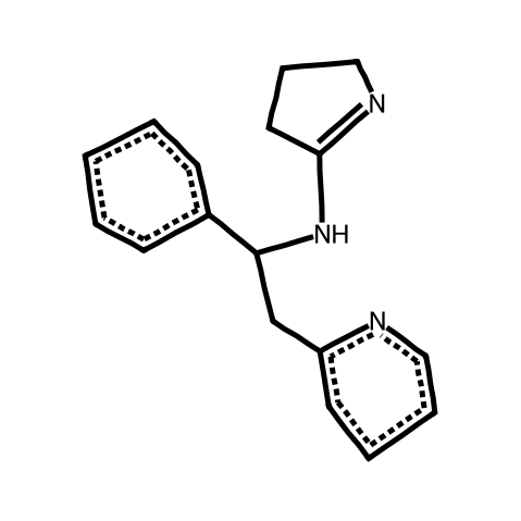 c1ccc(C(Cc2ccccn2)NC2=NCCC2)cc1